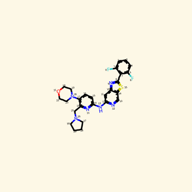 Fc1cccc(F)c1-c1nc2cc(Nc3ccc(N4CCOCC4)c(CN4CCCC4)n3)ncc2s1